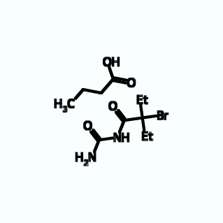 CCC(Br)(CC)C(=O)NC(N)=O.CCCC(=O)O